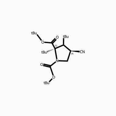 CC(C)(C)OC(=O)N1C[C@H](C#N)C(C(C)(C)C)[C@@]1(C(=O)OC(C)(C)C)C(C)(C)C